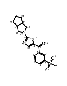 CS(=O)(=O)c1cccc(C(=O)c2cnc(N3CC4CCCC4C3)s2)c1